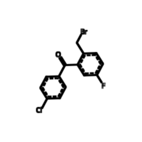 O=C(c1ccc(Cl)cc1)c1cc(F)ccc1CBr